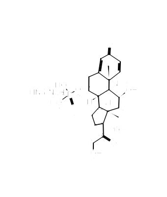 C[C@]12C=CC(=O)C=C1CC[C@@H]1[C@@H]2[C@@H](O)C[C@@]2(C)[C@H]1CC[C@]2(O)C(=O)CO.O=P(O)(O)O.[NaH].[NaH]